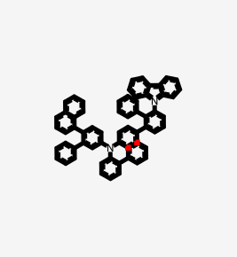 c1ccc(-c2cc(N(c3ccc(-c4cccc(-n5c6ccccc6c6ccccc65)c4-c4ccccc4)cc3)c3ccccc3-c3ccccc3)ccc2-c2cccc3ccccc23)cc1